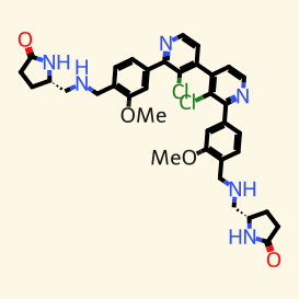 COc1cc(-c2nccc(-c3ccnc(-c4ccc(CNC[C@@H]5CCC(=O)N5)c(OC)c4)c3Cl)c2Cl)ccc1CNC[C@@H]1CCC(=O)N1